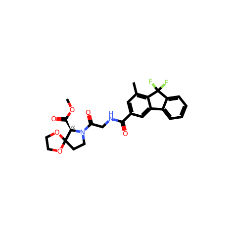 COC(=O)[C@H]1N(C(=O)CNC(=O)c2cc(C)c3c(c2)-c2ccccc2C3(F)F)CCC12OCCO2